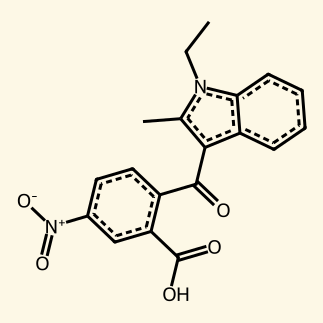 CCn1c(C)c(C(=O)c2ccc([N+](=O)[O-])cc2C(=O)O)c2ccccc21